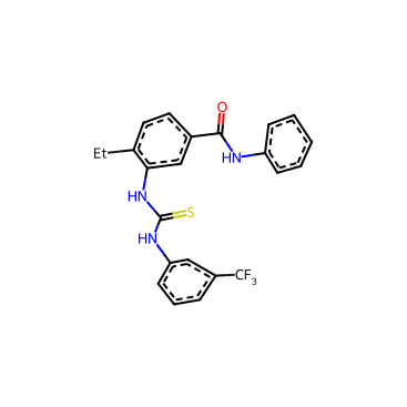 CCc1ccc(C(=O)Nc2ccccc2)cc1NC(=S)Nc1cccc(C(F)(F)F)c1